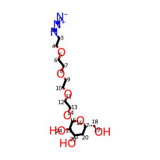 [N-]=[N+]=NCCOCCOCCOCCO[C@@H]1O[C@H](CO)C[C@H](O)[C@H]1O